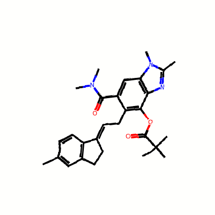 Cc1ccc2c(c1)CCC2=CCc1c(C(=O)N(C)C)cc2c(nc(C)n2C)c1OC(=O)C(C)(C)C